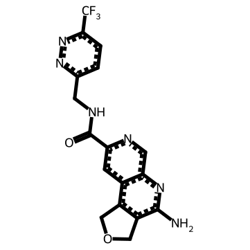 Nc1nc2cnc(C(=O)NCc3ccc(C(F)(F)F)nn3)cc2c2c1COC2